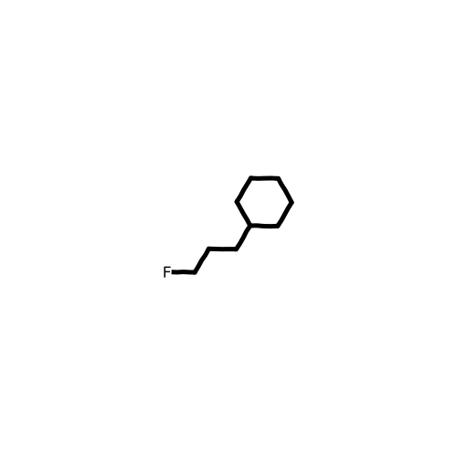 FCCCC1CCCCC1